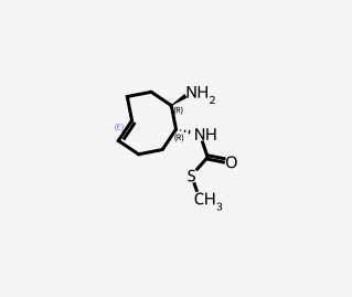 CSC(=O)N[C@@H]1CC/C=C/CC[C@H]1N